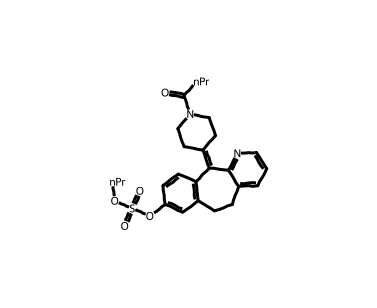 CCCOS(=O)(=O)Oc1ccc2c(c1)CCc1cccnc1C2=C1CCN(C(=O)CCC)CC1